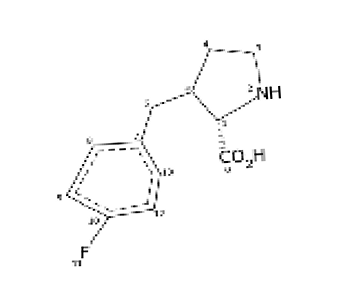 O=C(O)[C@H]1NCCC1Cc1ccc(F)cc1